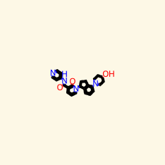 O=C(Nc1ccncc1)c1cccn(C2CCc3c2cccc3N2CCC(O)CC2)c1=O